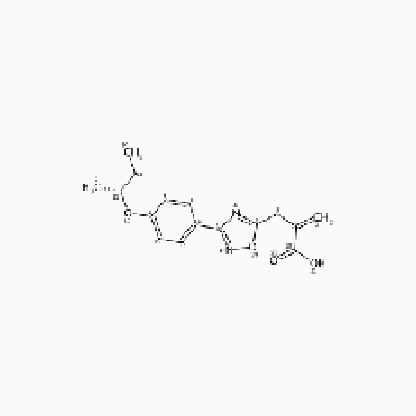 C=C(Cc1nc(-c2ccc(O[C@H](C)CC)cc2)no1)C(=O)O